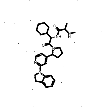 CNC(C)C(=O)N[C@H](C(=O)N1CCCC1c1ccnc(N2CCc3ccccc32)c1)C1CCCCC1